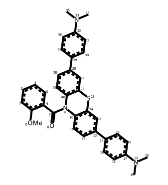 COc1ccccc1C(=O)N1c2ccc(-c3ccc(N(C)C)cc3)cc2Sc2cc(-c3ccc(N(C)C)cc3)ccc21